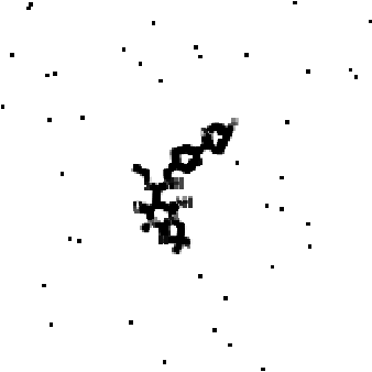 CCS/C(NCc1ccc(-c2ccc(F)cn2)cc1)=c1\c(=O)n(C)c2n(c1=N)CC(C)(C)N=2